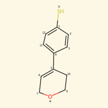 Sc1ccc(C2=CCOCC2)cc1